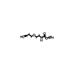 C#CCCOCCNC(=O)OC(C)(C)C